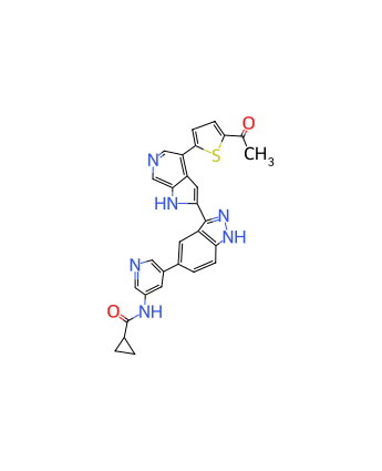 CC(=O)c1ccc(-c2cncc3[nH]c(-c4n[nH]c5ccc(-c6cncc(NC(=O)C7CC7)c6)cc45)cc23)s1